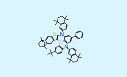 CC(C)(C)c1ccc2c(c1)B1c3c(cc(-c4ccccc4)cc3N(c3ccc4c(c3)C(C)(C)CCC4(C)C)c3sc4cc5c(cc4c31)C1(C)CCC5(C)C1)N2c1ccc2c(c1)C(C)(C)CCC2(C)C